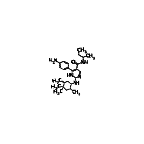 C=C1CC(NC2N=CC(C(=O)NC(C)CC)=C(c3ccc(N)cc3)N2)C(C)CC1(C)C